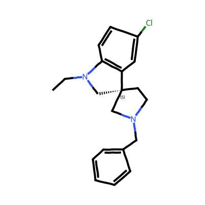 CCN1C[C@@]2(CCN(Cc3ccccc3)C2)c2cc(Cl)ccc21